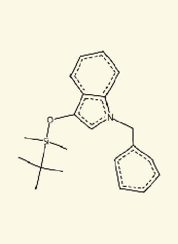 CC(C)(C)[Si](C)(C)Oc1cn(Cc2ccccc2)c2ccccc12